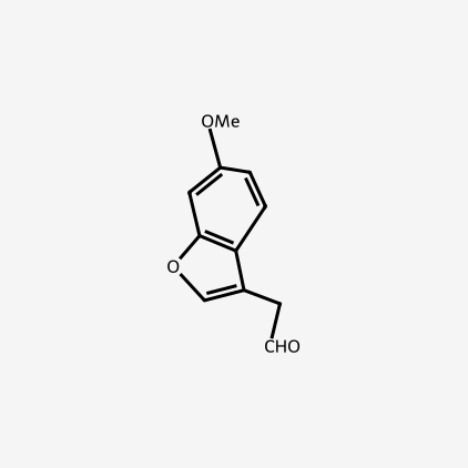 COc1ccc2c(CC=O)coc2c1